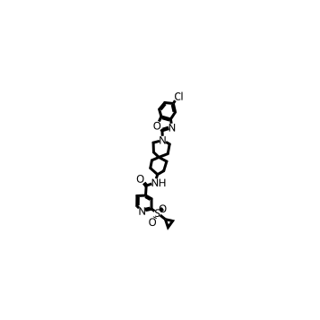 O=C(NC1CCC2(CC1)CCN(c1nc3cc(Cl)ccc3o1)CC2)c1ccnc(S(=O)(=O)C2CC2)c1